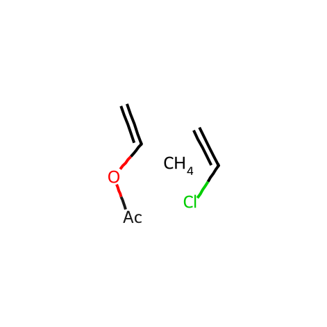 C.C=CCl.C=COC(C)=O